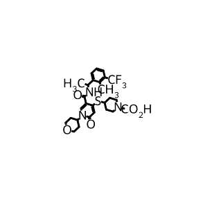 Cc1c(C(C)NC(=O)c2cn(C3CCOCC3)c(=O)cc2SC2CCN(C(=O)O)CC2)cccc1C(F)(F)F